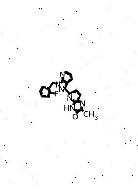 Cc1nc2ccc(-c3nn(Cc4ccccc4F)c4ncccc34)nc2[nH]c1=O